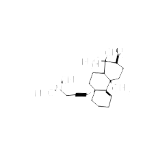 CN(C)CC#C[C@]12CCCC=C1[C@@]1(C)CCC(=O)C(C)(C)[C@@H]1CC2